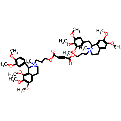 COc1ccc(C2c3c(cc(OC)c(OC)c3OC)CC[N+]2(C)CCCOC(=O)C#CC(=O)OCCC[N+]2(C)CCc3cc(OC)c(OC)cc3C2Cc2cc(OC)c(OC)c(OC)c2)cc1OC